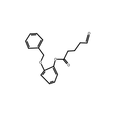 O=CCCCC(=O)Oc1ccccc1OCc1ccccc1